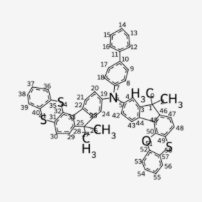 CC1(C)c2cc(N(c3ccc(-c4ccccc4)cc3)c3ccc4c(c3)C(C)(C)c3ccc5c(c3-4)Sc3ccccc3S5)ccc2-c2c1ccc1c2Oc2ccccc2S1